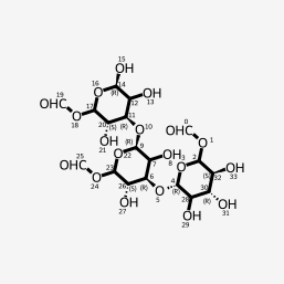 O=COC1O[C@@H](O[C@@H]2C(O)[C@H](O[C@@H]3C(O)[C@H](O)OC(OC=O)[C@H]3O)OC(OC=O)[C@H]2O)C(O)[C@@H](O)[C@@H]1O